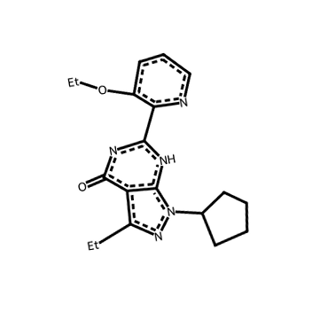 CCOc1cccnc1-c1nc(=O)c2c(CC)nn(C3CCCC3)c2[nH]1